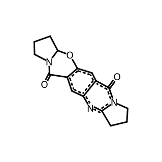 O=C1c2cc3nc4n(c(=O)c3cc2OC2CCCN12)CCC4